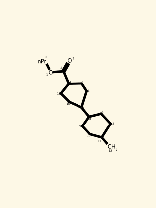 CCCOC(=O)C1CCC(C2CCC(C)CC2)CC1